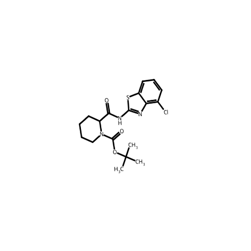 CC(C)(C)OC(=O)N1CCCCC1C(=O)Nc1nc2c(Cl)cccc2s1